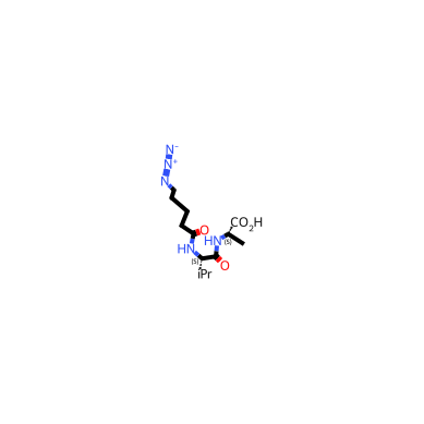 CC(C)[C@H](NC(=O)CCCCN=[N+]=[N-])C(=O)N[C@@H](C)C(=O)O